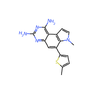 Cc1ccc(-c2cc3nc(N)nc(N)c3c3ccn(C)c23)s1